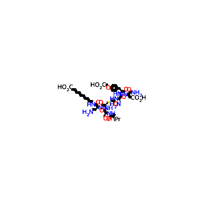 CC(C)[C@H](C)C(=O)N[C@@H](CO)C(=O)N[C@@H](CSCC(=O)N[C@@H](CN)C(=O)N[C@@H](Cc1ccc(OCC(=O)O)cc1)C(=O)NC(CC(=O)O)C(N)=O)C(=O)N[C@@H](CCN)C(=O)NCCCCCCCCCCC(=O)O